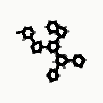 Cc1ccnc(-c2cccc(-c3cc(-c4nc(-c5ccccc5)nc(-c5ccccc5)n4)cc(-c4cccc5ccccc45)c3)c2)n1